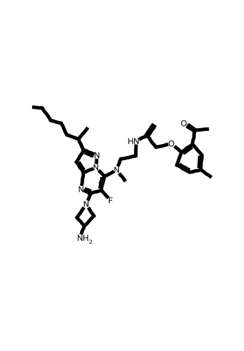 C=C(COc1ccc(C)cc1C(C)=O)NCCN(C)c1c(F)c(N2CC(N)C2)nc2cc(C(C)CCCCC)nn12